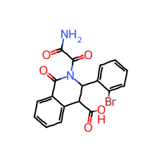 NC(=O)C(=O)N1C(=O)c2ccccc2C(C(=O)O)C1c1ccccc1Br